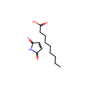 CCCCCCCCC(=O)O.O=C1C=CC(=O)N1